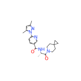 Cc1cc(C)n(-c2ccc(C(=O)N[C@@H](C)C(=O)N3CCC4(CC3)CC4)cn2)n1